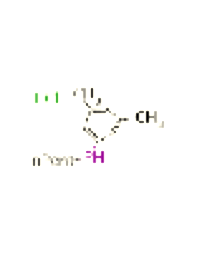 CCCCCPc1cc(C)cc(C)c1.Cl